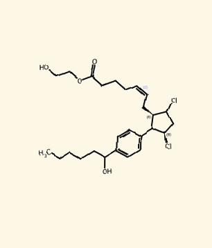 CCCCCC(O)c1ccc(C2[C@@H](C/C=C\CCCC(=O)OCCO)C(Cl)C[C@H]2Cl)cc1